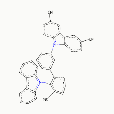 N#Cc1ccc2c(c1)c1cc(C#N)ccc1n2-c1cccc(-c2cccc(C#N)c2-n2c3ccccc3c3ccccc32)c1